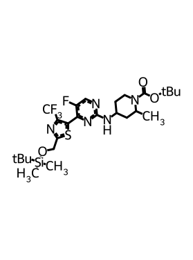 CC1CC(Nc2ncc(F)c(-c3sc(CO[Si](C)(C)C(C)(C)C)nc3C(F)(F)F)n2)CCN1C(=O)OC(C)(C)C